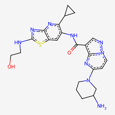 NC1CCCN(c2ccn3ncc(C(=O)Nc4cc5sc(NCCO)nc5nc4C4CC4)c3n2)C1